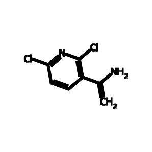 C=C(N)c1ccc(Cl)nc1Cl